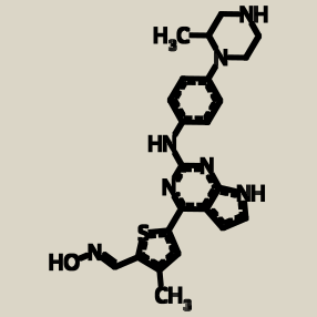 Cc1cc(-c2nc(Nc3ccc(N4CCNCC4C)cc3)nc3[nH]ccc23)sc1C=NO